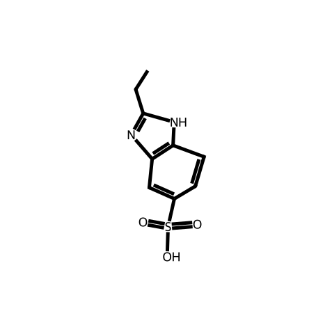 CCc1nc2cc(S(=O)(=O)O)ccc2[nH]1